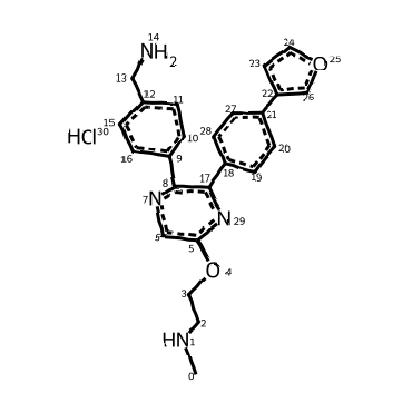 CNCCOc1cnc(-c2ccc(CN)cc2)c(-c2ccc(-c3ccoc3)cc2)n1.Cl